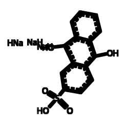 O=S(=O)(O)c1ccc2c(O)c3ccccc3c(O)c2c1.[NaH].[NaH].[NaH]